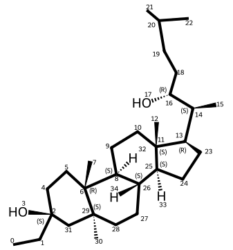 CC[C@]1(O)CC[C@]2(C)[C@H]3CC[C@]4(C)[C@@H]([C@H](C)[C@H](O)CCC(C)C)CC[C@H]4[C@@H]3CC[C@@]2(C)C1